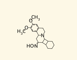 COc1cc2c(cc1OC)C1CC(=NO)C3C4CCCCC4C3N1CC2